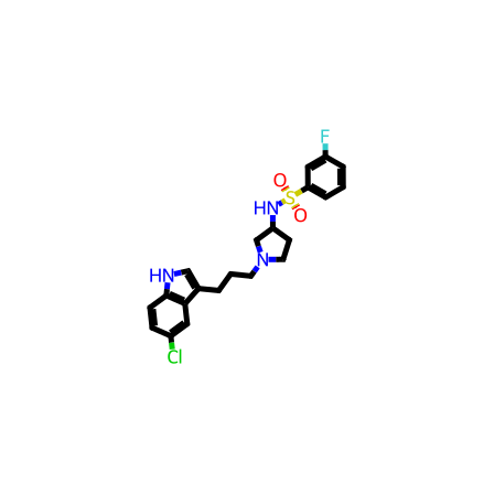 O=S(=O)(NC1CCN(CCCc2c[nH]c3ccc(Cl)cc23)C1)c1cccc(F)c1